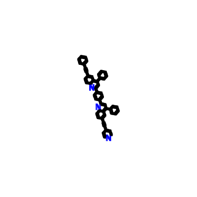 C(#Cc1ccc2nc(-c3ccc(-c4cc(-c5ccccc5)c5cc(C#Cc6ccncc6)ccc5n4)cc3)cc(-c3ccccc3)c2c1)c1ccccc1